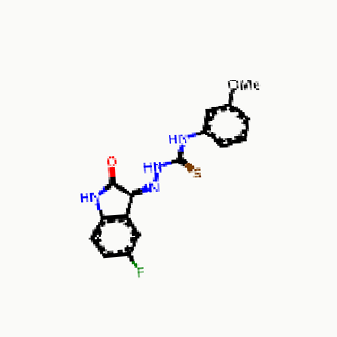 COc1cccc(NC(=S)N/N=C2\C(=O)Nc3ccc(F)cc32)c1